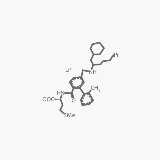 CSCC[C@H](NC(=O)c1ccc(CNC(CCCC(C)C)CC2CCCCC2)cc1-c1ccccc1C)C(=O)[O-].[Li+]